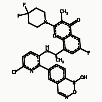 Cc1c(N2CCC(F)(F)CC2)oc2c([C@@H](C)Nc3ccc(Cl)nc3-c3ccc4c(c3)C=NOB4O)cc(F)cc2c1=O